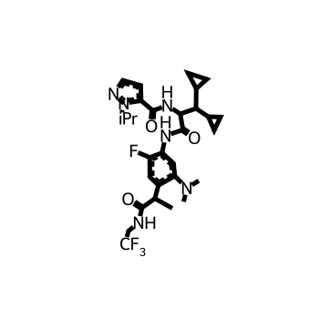 CC(C(=O)NCC(F)(F)F)c1cc(F)c(NC(=O)C(NC(=O)c2ccnn2C(C)C)C(C2CC2)C2CC2)cc1N(C)C